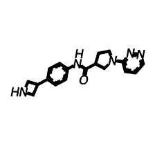 O=C(Nc1ccc(C2CNC2)cc1)C1CCN(c2cccnn2)C1